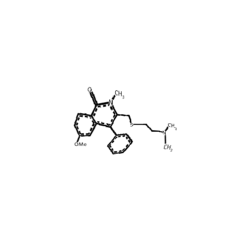 COc1ccc2c(=O)n(C)c(CSCCN(C)C)c(-c3ccccc3)c2c1